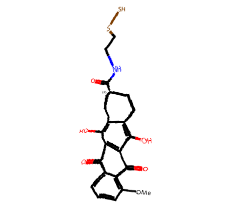 COc1cccc2c1C(=O)c1c(O)c3c(c(O)c1C2=O)C[C@@H](C(=O)NCCSS)CC3